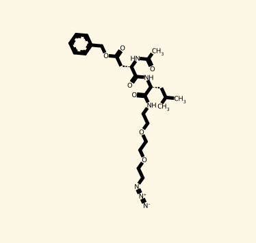 CC(=O)N[C@@H](CC(=O)OCc1ccccc1)C(=O)N[C@H](CC(C)C)C(=O)NCCOCCOCCN=[N+]=[N-]